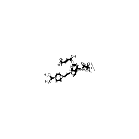 CC(C)N1CCN(CCn2ncc3c(NC(=O)C(C)(C)C)ncnc32)CC1.O=C(O)C=CC(=O)O